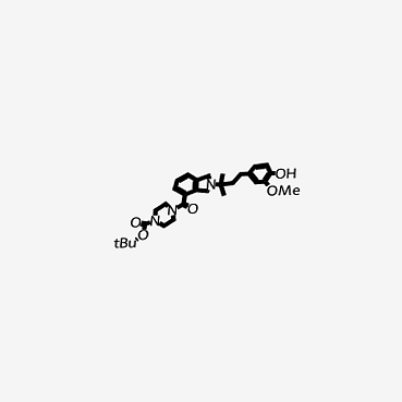 COc1cc(CCC(C)(C)N2Cc3cccc(C(=O)N4CCN(C(=O)OC(C)(C)C)CC4)c3C2)ccc1O